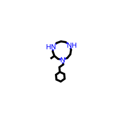 CC1CNCCCNCCCN(CCC2CCCCC2)C1